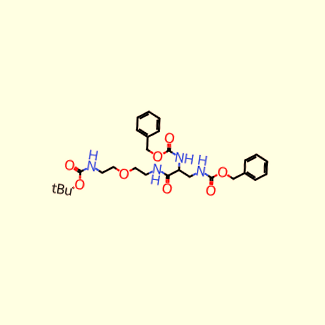 CC(C)(C)OC(=O)NCCOCCNC(=O)C(CNC(=O)OCc1ccccc1)NC(=O)OCc1ccccc1